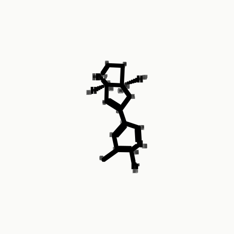 Cc1cc(C2=C[C@H]3NCC[C@H]3C2)cnc1Br